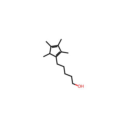 CC1=C(C)C(C)C(CCCCCO)=C1C